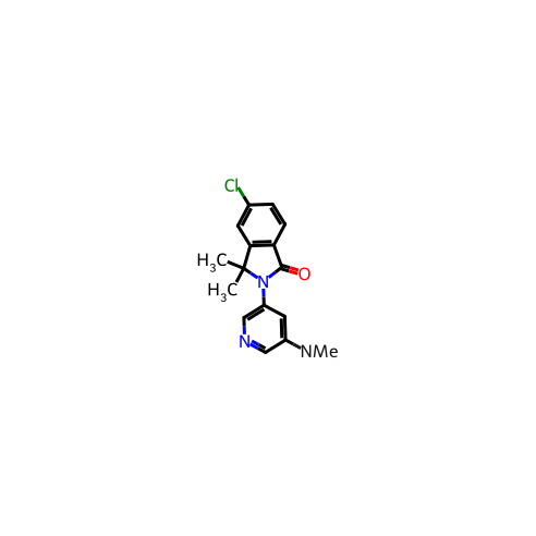 CNc1cncc(N2C(=O)c3ccc(Cl)cc3C2(C)C)c1